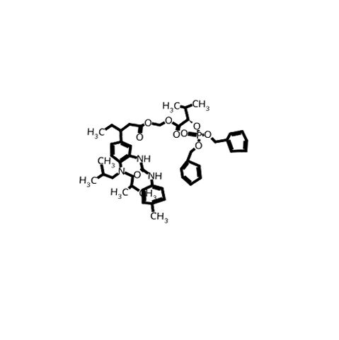 CCC(CC(=O)OCOC(=O)[C@@H](OP(=O)(OCc1ccccc1)OCc1ccccc1)C(C)C)c1ccc(N(CC(C)C)CC(C)C)c(NC(=O)Nc2ccc(C)cc2)c1